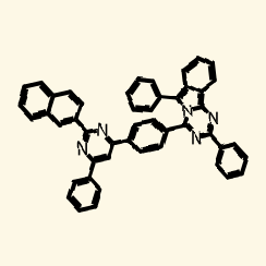 c1ccc(-c2cc(-c3ccc(-c4nc(-c5ccccc5)nc5c6ccccc6c(-c6ccccc6)n45)cc3)nc(-c3ccc4ccccc4c3)n2)cc1